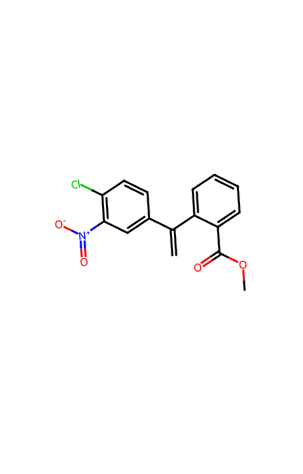 C=C(c1ccc(Cl)c([N+](=O)[O-])c1)c1ccccc1C(=O)OC